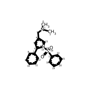 CN(C)Cc1cc(-c2ccccc2)n(S(=O)(=O)c2ccccc2)c1